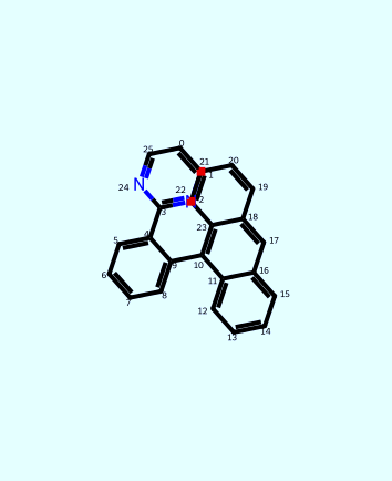 c1cnc(-c2ccccc2-c2c3ccccc3cc3ccccc23)nc1